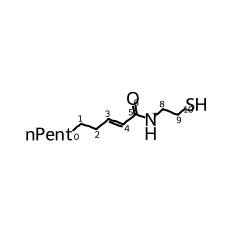 CCCCCCCC=CC(=O)NCCS